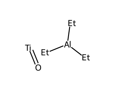 C[CH2][Al]([CH2]C)[CH2]C.[O]=[Ti]